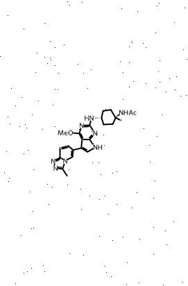 COc1nc(N[C@H]2CC[C@](C)(NC(C)=O)CC2)nc2[nH]cc(-c3ccc4nnc(C)n4c3)c12